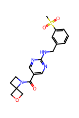 CS(=O)(=O)c1cccc(CNc2ncc(C(=O)N3CCC34COC4)cn2)c1